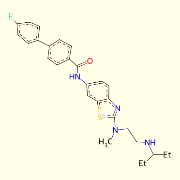 CCC(CC)NCCN(C)c1nc2ccc(NC(=O)c3ccc(-c4ccc(F)cc4)cc3)cc2s1